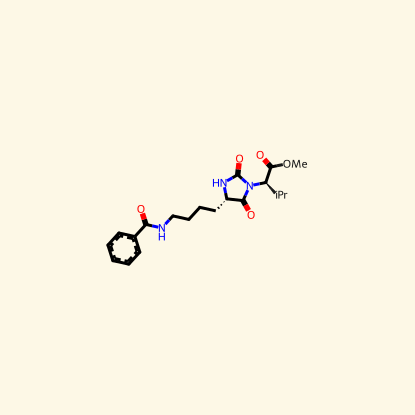 COC(=O)[C@@H](C(C)C)N1C(=O)N[C@@H](CCCCNC(=O)c2ccccc2)C1=O